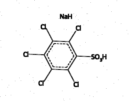 O=S(=O)(O)c1c(Cl)c(Cl)c(Cl)c(Cl)c1Cl.[NaH]